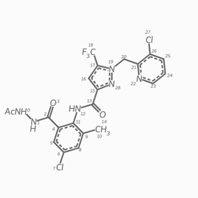 CC(=O)NNC(=O)c1cc(Cl)cc(C)c1NC(=O)c1cc(C(F)(F)F)n(Cc2ncccc2Cl)n1